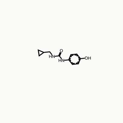 O=C(NCC1CC1)Nc1ccc(O)cc1